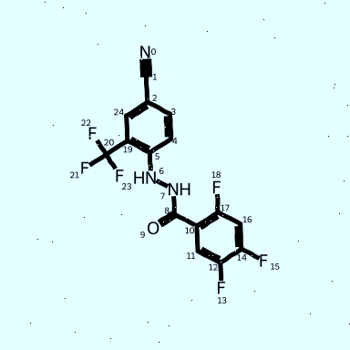 N#Cc1ccc(NNC(=O)c2cc(F)c(F)cc2F)c(C(F)(F)F)c1